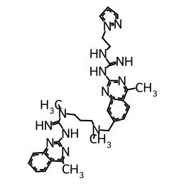 Cc1nc(NC(=N)NCCn2cccn2)nc2cc(CN(C)CCCN(C)C(=N)Nc3nc(C)c4ccccc4n3)ccc12